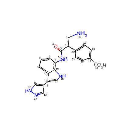 NCC(C(=O)Nc1cccc2c(-c3cn[nH]c3)c[nH]c12)c1ccc(C(=O)O)cc1